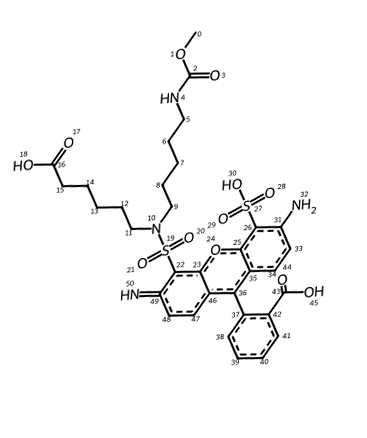 COC(=O)NCCCCCN(CCCCCC(=O)O)S(=O)(=O)c1c2oc3c(S(=O)(=O)O)c(N)ccc3c(-c3ccccc3C(=O)O)c-2ccc1=N